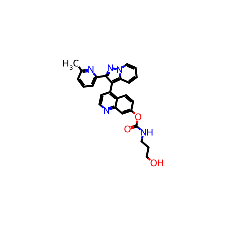 Cc1cccc(-c2nn3ccccc3c2-c2ccnc3cc(OC(=O)NCCCO)ccc23)n1